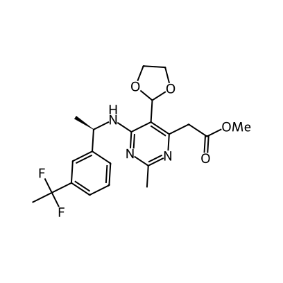 COC(=O)Cc1nc(C)nc(N[C@H](C)c2cccc(C(C)(F)F)c2)c1C1OCCO1